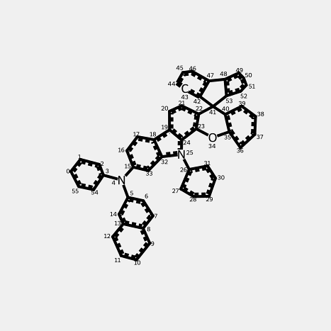 c1ccc(N(c2ccc3ccccc3c2)c2ccc3c4ccc5c(c4n(-c4ccccc4)c3c2)Oc2ccccc2C52c3ccccc3-c3ccccc32)cc1